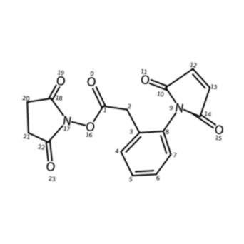 O=C(Cc1ccccc1N1C(=O)C=CC1=O)ON1C(=O)CCC1=O